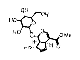 COC(=O)C1=CO[C@@H](O[C@@H]2O[C@H](CO)[C@@H](O)[C@H](O)[C@H]2O)[C@H]2[C@@H]1C=C[C@@H]2O